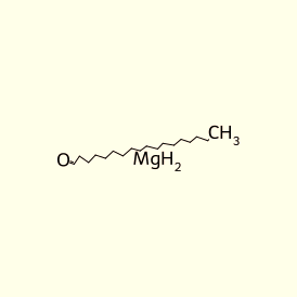 CCCCCCCCCCCCCCCCCC=O.[MgH2]